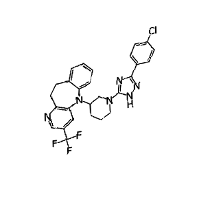 FC(F)(F)c1cnc2c(c1)N(C1CCCN(c3nc(-c4ccc(Cl)cc4)n[nH]3)C1)c1ccccc1CC2